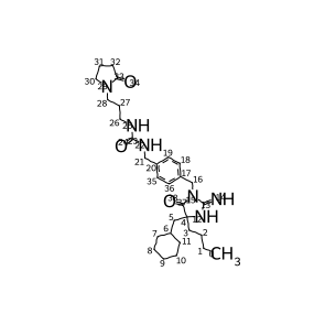 CCCCC1(CC2CCCCC2)NC(=N)N(Cc2ccc(CNC(=O)NCCCN3CCCC3=O)cc2)C1=O